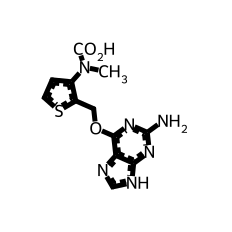 CN(C(=O)O)c1ccsc1COc1nc(N)nc2[nH]cnc12